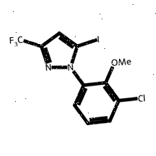 COc1c(Cl)cccc1-n1nc(C(F)(F)F)cc1I